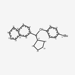 CC(C)(C)c1ccc(OC(c2ccc3ccncc3c2)C2CCCC2)cc1